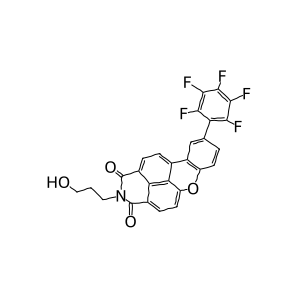 O=c1c2ccc3oc4ccc(-c5c(F)c(F)c(F)c(F)c5F)cc4c4ccc(c(=O)n1CCCO)c2c34